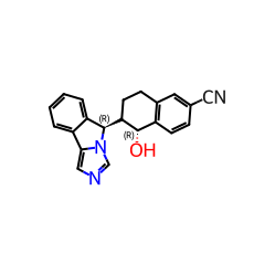 N#Cc1ccc2c(c1)CCC([C@@H]1c3ccccc3-c3cncn31)[C@H]2O